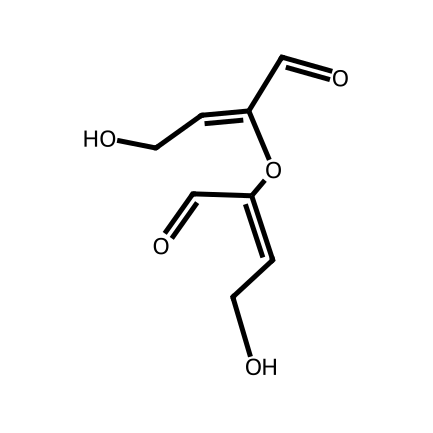 O=CC(=CCO)OC(C=O)=CCO